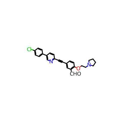 O=Cc1cc(C#Cc2ccc(-c3ccc(Cl)cc3)cn2)ccc1OCCN1CCCC1